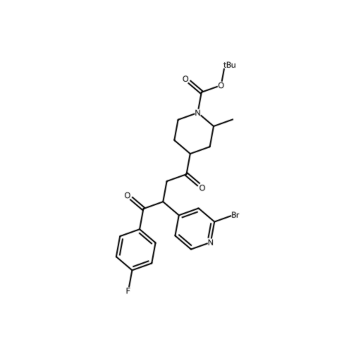 CC1CC(C(=O)CC(C(=O)c2ccc(F)cc2)c2ccnc(Br)c2)CCN1C(=O)OC(C)(C)C